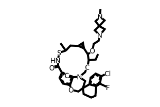 CCC1CCN2CC3(CCCc4c3ccc(Cl)c4F)COc3ccc(cc32)C(=O)NSC(C)CC2C=C2C1OCCN1CC2(CN(C)C2)C1